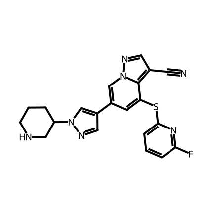 N#Cc1cnn2cc(-c3cnn(C4CCCNC4)c3)cc(Sc3cccc(F)n3)c12